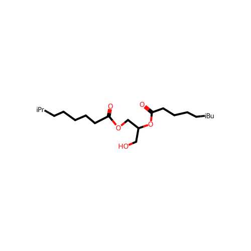 CCC(C)CCCCC(=O)OC(CO)COC(=O)CCCCCC(C)C